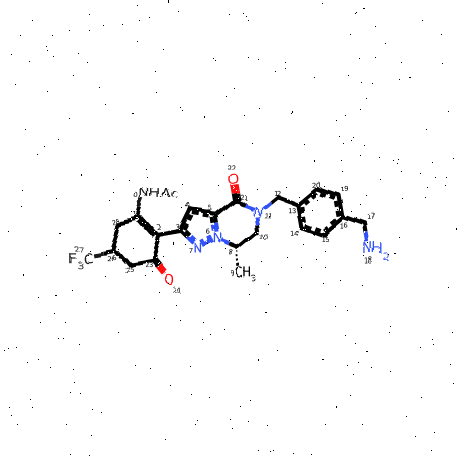 CC(=O)NC1=C(c2cc3n(n2)[C@@H](C)CN(Cc2ccc(CN)cc2)C3=O)C(=O)CC(C(F)(F)F)C1